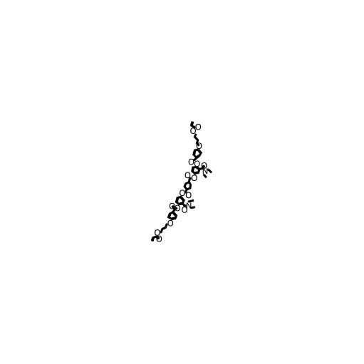 C=CC(=O)OCCCCOc1ccc(C(=O)Oc2ccc(OC(=O)C3CCC(C(=O)Oc4ccc(OC(=O)c5ccc(OCCCCOC(=O)C=C)cc5)c(C(=O)N(CC)CC)c4)CC3)cc2C(=O)N(CC)CC)cc1